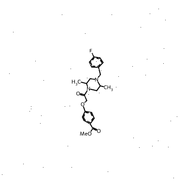 COC(=O)c1ccc(OCC(=O)N2CC(C)N(Cc3ccc(F)cc3)CC2C)cc1